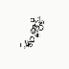 NS(=O)(=O)c1ccc(Nc2ncc3cc4n(c3n2)C2(CCCCC2)C(=O)NC4Cl)cc1